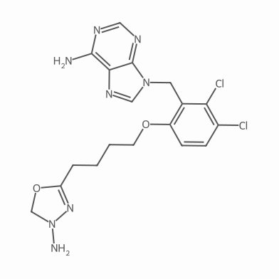 Nc1ncnc2c1ncn2Cc1c(OCCCCC2=NN(N)CO2)ccc(Cl)c1Cl